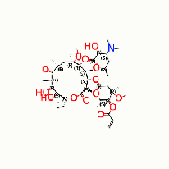 C=CC(=O)O[C@H]1[C@H](C)O[C@@H](O[C@H]2[C@H](C)[C@@H](O[C@@H]3O[C@H](C)C[C@H](N(C)C)[C@H]3O)[C@](C)(OC)C[C@@H](C)C(=O)[C@H](C)[C@@H](O)[C@](C)(O)[C@@H](CC)OC(=O)[C@@H]2C)C[C@@]1(C)OC